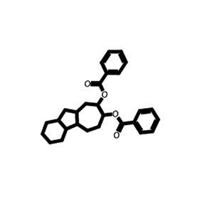 O=C(OC1CCC2C(CC3CCCCC32)CC1OC(=O)c1ccccc1)c1ccccc1